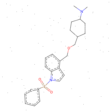 CN(C)C1CCC(COCc2cccc3c2ccn3S(=O)(=O)c2ccccc2)CC1